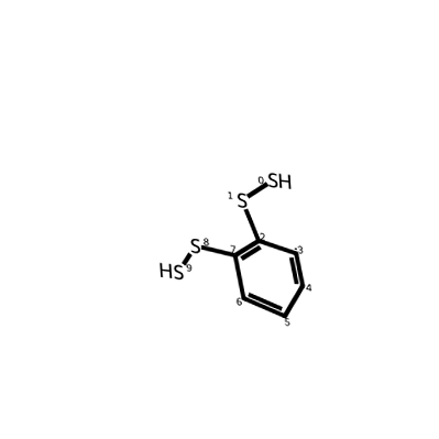 SSc1[c]cccc1SS